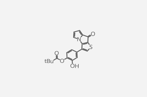 CC(C)(C)C(=O)Oc1ccc(-c2csc3c2-n2cccc2C3=O)cc1O